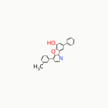 Cc1cccc(-c2ccnc3c2oc2c(O)cc(-c4ccccc4)cc23)c1